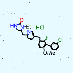 CCN1C(=O)NCC1Cc1ccc(Cc2ccc(OC)c(-c3cccc(Cl)c3)c2F)cn1.Cl